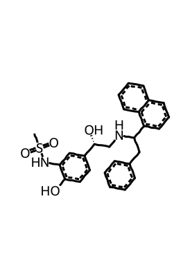 CS(=O)(=O)Nc1cc([C@H](O)CNC(Cc2ccccc2)c2cccc3ccccc23)ccc1O